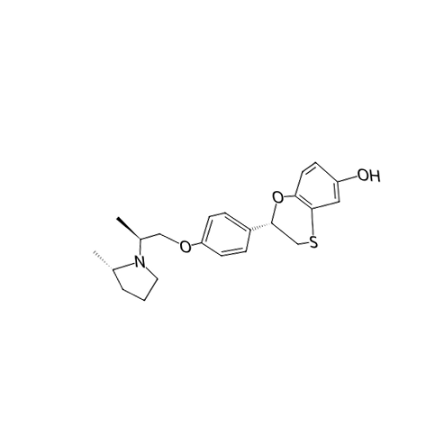 C[C@H]1CCCN1[C@@H](C)COc1ccc([C@H]2CSc3cc(O)ccc3O2)cc1